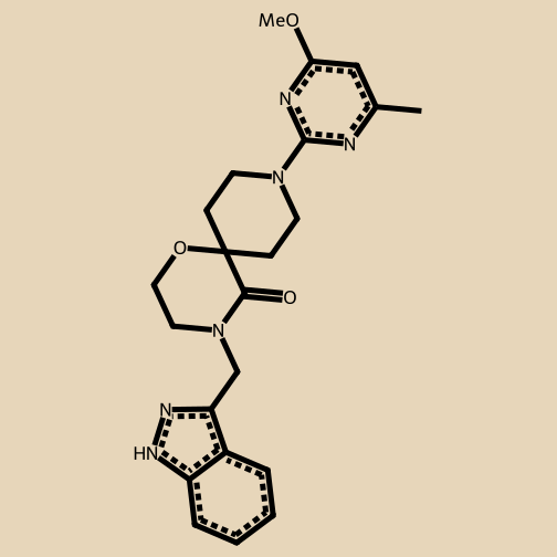 COc1cc(C)nc(N2CCC3(CC2)OCCN(Cc2n[nH]c4ccccc24)C3=O)n1